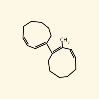 CC1=C(C2=CC=CCCCCC2)CCCCCC=C1